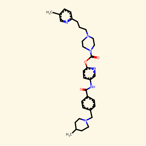 Cc1ccc(CCCN2CCN(C(=O)Oc3ccc(NC(=O)c4ccc(CN5CCC(C)CC5)cc4)cn3)CC2)nc1